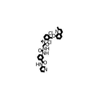 Cc1ccc2cccc(OCc3c(Cl)ccc(N(C)C(=O)CNC(=O)Nc4cccc(C(=O)Nc5cccnc5)c4)c3Cl)c2n1